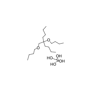 CCCCOCC(CCCC)(CCCC)OCCCC.O[Si](O)(O)O